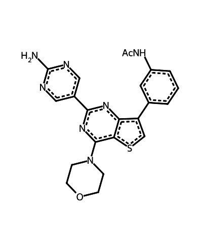 CC(=O)Nc1cccc(-c2csc3c(N4CCOCC4)nc(-c4cnc(N)nc4)nc23)c1